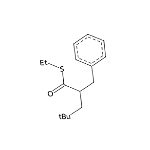 CCSC(=O)C(Cc1ccccc1)CC(C)(C)C